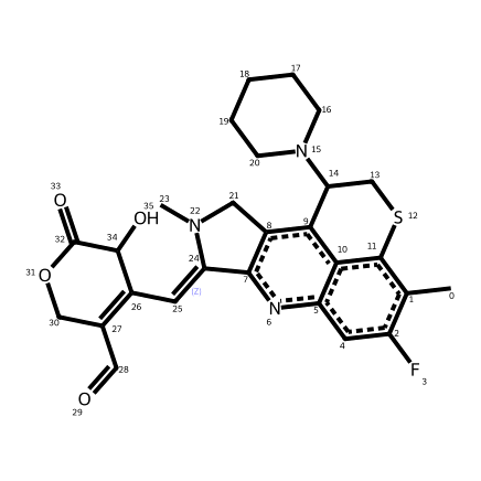 Cc1c(F)cc2nc3c(c4c2c1SCC4N1CCCCC1)CN(C)/C3=C\C1=C(C=O)COC(=O)C1O